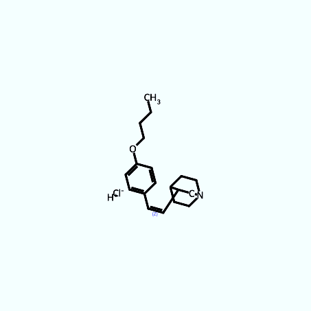 CCCCOc1ccc(/C=C\C2CN3CCC2CC3)cc1.[Cl-].[H+]